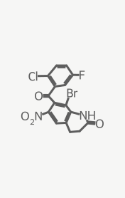 O=C1CCc2cc([N+](=O)[O-])c(C(=O)c3cc(F)ccc3Cl)c(Br)c2N1